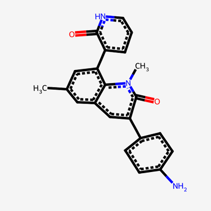 Cc1cc(-c2ccc[nH]c2=O)c2c(c1)cc(-c1ccc(N)cc1)c(=O)n2C